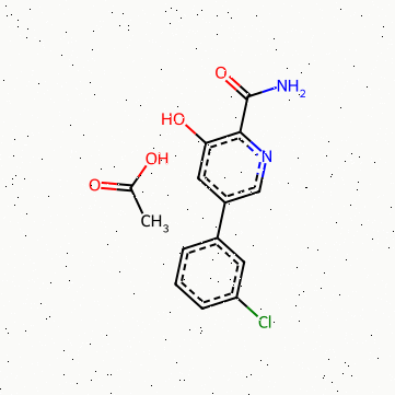 CC(=O)O.NC(=O)c1ncc(-c2cccc(Cl)c2)cc1O